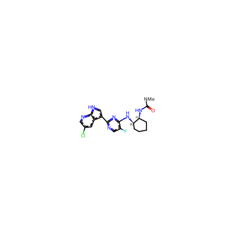 CNC(=O)N[C@H]1CCCC[C@H]1Nc1nc(-c2c[nH]c3ncc(Cl)cc23)ncc1F